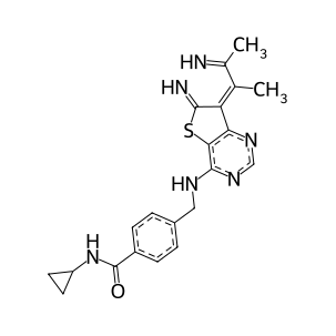 CC(=N)/C(C)=C1\C(=N)Sc2c(NCc3ccc(C(=O)NC4CC4)cc3)ncnc21